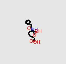 O=C(O)C[C@H]1CCCC[C@H](NC(=O)Cc2ccccc2)B(O)O1